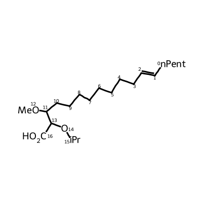 CCCCCC=CCCCCCCCCC(OC)C(OC(C)C)C(=O)O